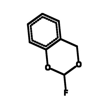 FC1OCc2ccccc2O1